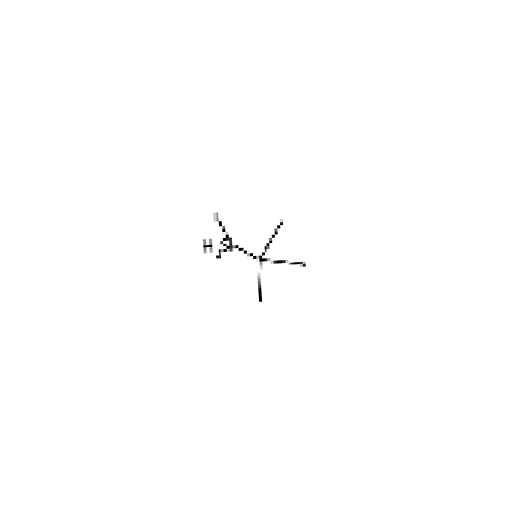 CC(C)(C)[SiH2][Ti]